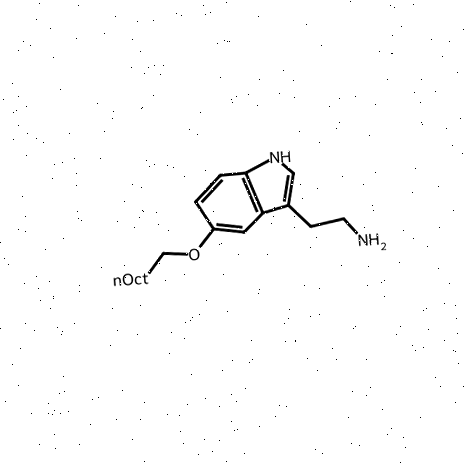 CCCCCCCCCOc1ccc2[nH]cc(CCN)c2c1